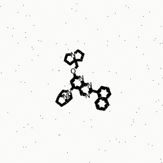 c1ccc2c(-c3ncc4c(N5CC6CCC(C5)N6)cc(OCC56CCCN5CCC6)nc4n3)cccc2c1